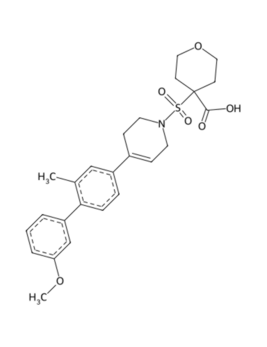 COc1cccc(-c2ccc(C3=CCN(S(=O)(=O)C4(C(=O)O)CCOCC4)CC3)cc2C)c1